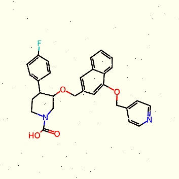 O=C(O)N1CCC(c2ccc(F)cc2)C(OCc2cc(OCc3ccncc3)c3ccccc3c2)C1